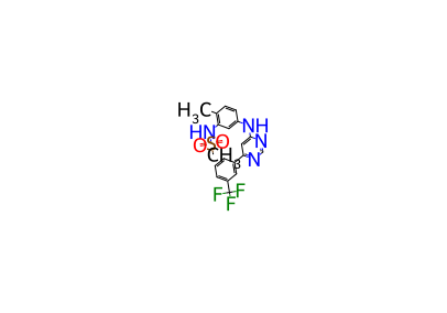 Cc1ccc(Nc2cc(-c3cccc(C(F)(F)F)c3)ncn2)cc1NS(C)(=O)=O